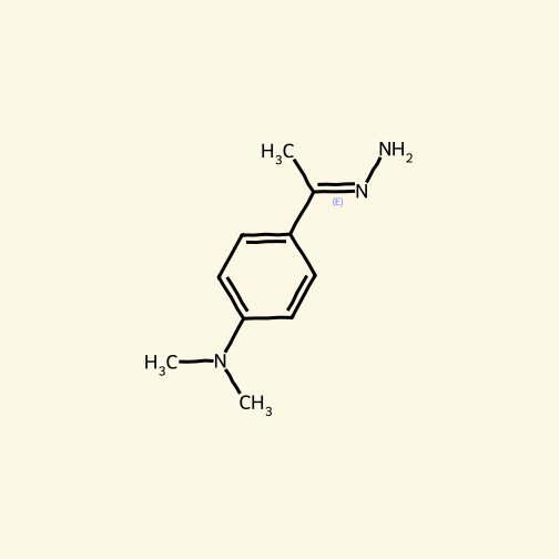 C/C(=N\N)c1ccc(N(C)C)cc1